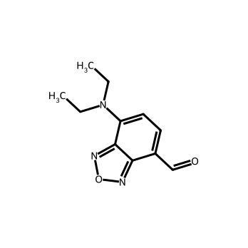 CCN(CC)c1ccc(C=O)c2nonc12